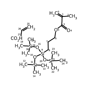 C=C(C)C(=O)OCCC[Si](O[Si](C)(C)C)(O[Si](C)(C)C)O[Si](C)(C)C.C=CC(=O)O